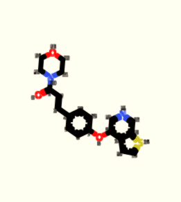 O=C(C=Cc1ccc(Oc2cncc3sccc23)cc1)N1CCOCC1